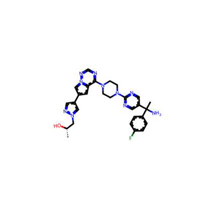 C[C@H](O)Cn1cc(-c2cc3c(N4CCN(c5ncc(C(C)(N)c6ccc(F)cc6)cn5)CC4)ncnn3c2)cn1